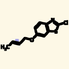 C/C=C/COc1ccc2nc(Cl)sc2c1